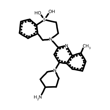 Cc1cccc2c(N3CCC(N)CC3)cc(N3CCS(O)(O)c4ccccc4C3)nc12